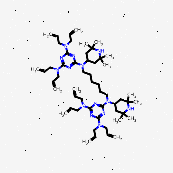 C=CCN(CC=C)c1nc(N(CC=C)CC=C)nc(N(CCCCCCN(c2nc(N(CC=C)CC=C)nc(N(CC=C)CC=C)n2)C2CC(C)(C)NC(C)(C)C2)C2CC(C)(C)NC(C)(C)C2)n1